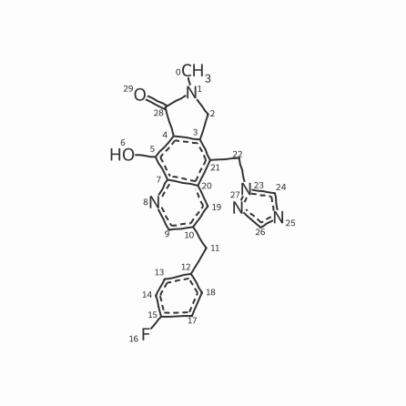 CN1Cc2c(c(O)c3ncc(Cc4ccc(F)cc4)cc3c2Cn2cncn2)C1=O